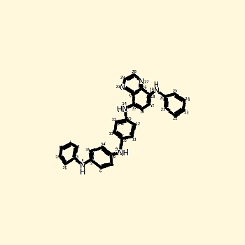 c1ccc(Nc2ccc(Nc3ccc(Nc4ccc(Nc5ccccc5)c5nccnc45)cc3)cc2)cc1